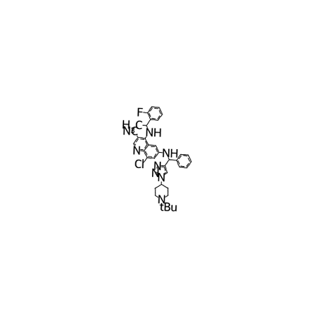 CC(Nc1c(C#N)cnc2c(Cl)cc(NC(c3ccccc3)c3cn(C4CCN(C(C)(C)C)CC4)nn3)cc12)c1ccccc1F